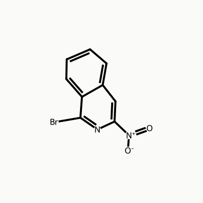 O=[N+]([O-])c1cc2ccccc2c(Br)n1